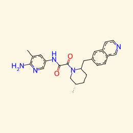 Cc1cc(NC(=O)C(=O)N2C[C@@H](C)CCC2Cc2ccc3cnccc3c2)cnc1N